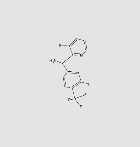 NC(c1ccc(C(F)(F)F)c(F)c1)c1ncccc1F